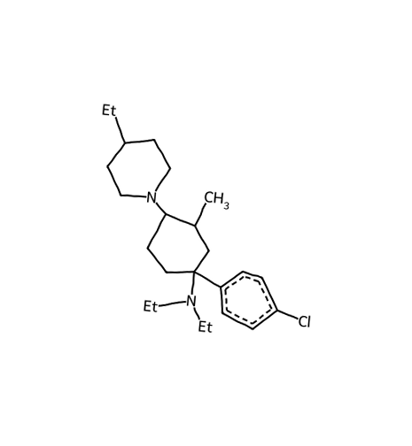 CCC1CCN(C2CCC(c3ccc(Cl)cc3)(N(CC)CC)CC2C)CC1